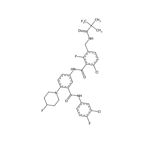 CC(C)(C(=O)NCc1ccc(Cl)c(C(=O)Nc2ccc(N3CCC(F)CC3)c(C(=O)Nc3ccc(F)c(Cl)c3)c2)c1F)C(F)(F)F